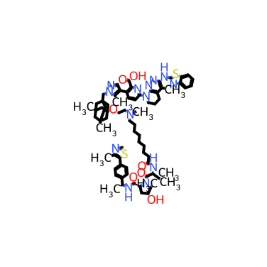 Cc1ncsc1-c1ccc([C@H](C)NC(=O)[C@@H]2C[C@@H](O)CN2C(=O)[C@@H](NC(=O)CCCCCCCCN(C)CCOC23CC4(C)CC(C)(CC(Cn5ncc(-c6ccc(N7CCCc8c7nnc(Nc7nc9ccccc9s7)c8C)nc6C(=O)O)c5C)(C4)C2)C3)C(C)(C)C)cc1